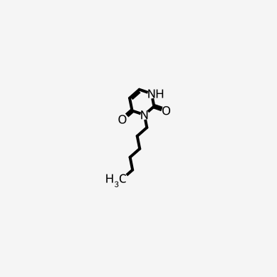 CCCCCCn1c(=O)cc[nH]c1=O